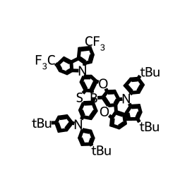 CC(C)(C)c1ccc(N(c2ccc(C(C)(C)C)cc2)c2ccc3c(c2)Sc2cc(-n4c5ccc(C(F)(F)F)cc5c5cc(C(F)(F)F)ccc54)cc4c2B3c2c(cc(N(c3ccc(C(C)(C)C)cc3)c3ccc(C(C)(C)C)cc3)c3c2oc2ccccc23)O4)cc1